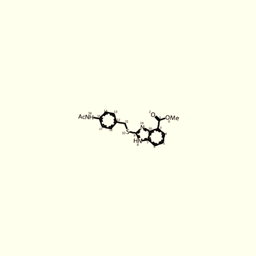 COC(=O)c1cccc2[nH]c(SCc3ccc(NC(C)=O)cc3)nc12